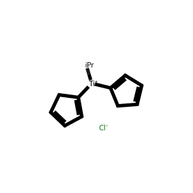 C[CH](C)[Ti+]([C]1=CC=CC1)[C]1=CC=CC1.[Cl-]